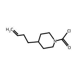 C=CCCC1CCN(C(=O)Cl)CC1